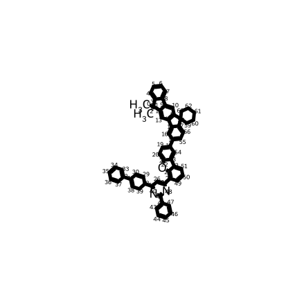 CC1(C)c2ccccc2-c2cc3c(cc21)-c1cc(-c2ccc4oc5c(-c6cc(C7C=CC(c8ccccc8)=CC7)nc(-c7ccccc7)n6)cccc5c4c2)ccc1C31CCCCC1